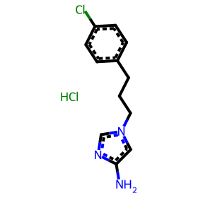 Cl.Nc1cn(CCCc2ccc(Cl)cc2)cn1